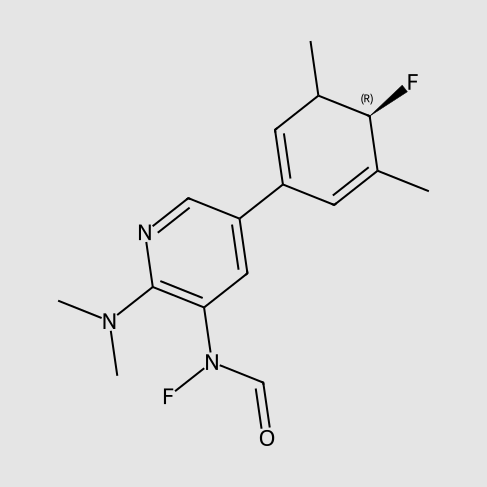 CC1=CC(c2cnc(N(C)C)c(N(F)C=O)c2)=CC(C)[C@H]1F